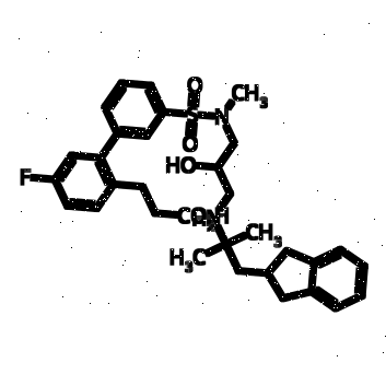 CN(CC(O)CNC(C)(C)CC1Cc2ccccc2C1)S(=O)(=O)c1cccc(-c2cc(F)ccc2CCC(=O)O)c1